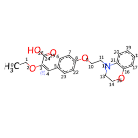 CCO/C(=C/c1ccc(OCCN2CCOc3ccccc32)cc1)C(=O)O